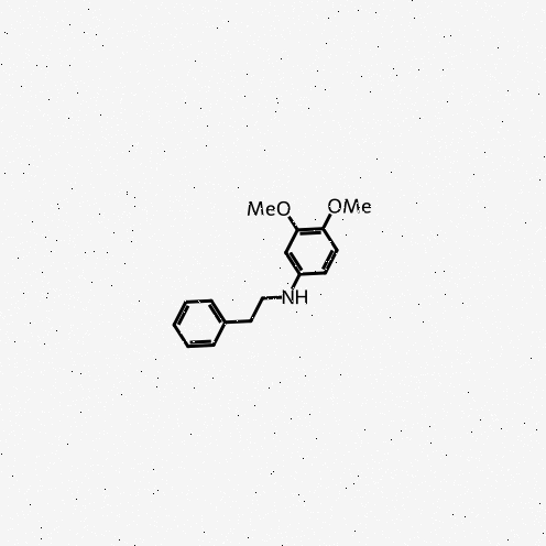 COc1ccc(NCCc2ccccc2)cc1OC